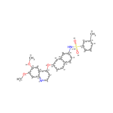 COc1cc2nccc(Oc3ccc4ccc(NS(=O)(=O)c5cccc(C)c5)cc4c3)c2cc1OC